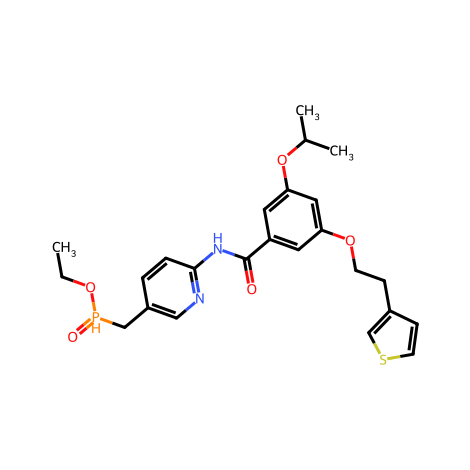 CCO[PH](=O)Cc1ccc(NC(=O)c2cc(OCCc3ccsc3)cc(OC(C)C)c2)nc1